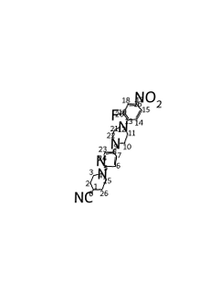 N#CC1CCN(c2ccc(N3CCN(c4ccc([N+](=O)[O-])cc4F)CC3)cn2)CC1